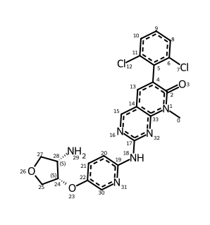 Cn1c(=O)c(-c2c(Cl)cccc2Cl)cc2cnc(Nc3ccc(O[C@@H]4COC[C@@H]4N)cn3)nc21